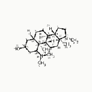 C[C@H]1CC[C@H]2[C@@H]3CC[C@H]4C[C@H](O)CC(N(C)C)[C@]4(C)[C@H]3CC[C@]12C